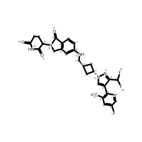 Cc1cc(F)cnc1-c1cn([C@H]2C[C@H](CNc3ccc4c(c3)CN(C3CCC(=O)NC3=O)C4=O)C2)nc1C(F)F